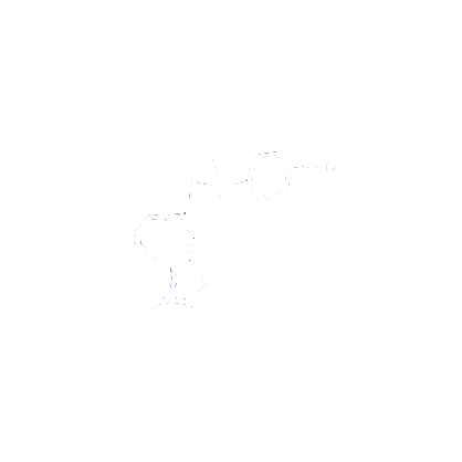 CCn1ncc2cc(NS(=O)(=O)c3ccc(Br)cc3)ccc21